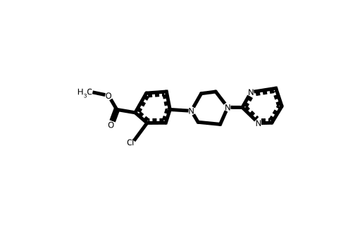 COC(=O)c1ccc(N2CCN(c3ncccn3)CC2)cc1Cl